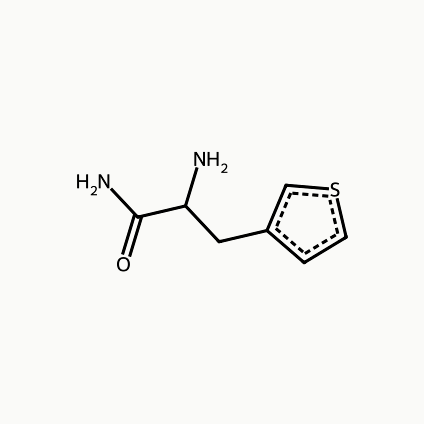 NC(=O)C(N)Cc1ccsc1